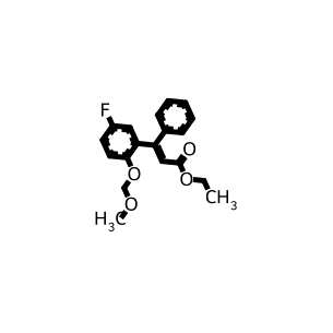 CCOC(=O)/C=C(\c1ccccc1)c1cc(F)ccc1OCOC